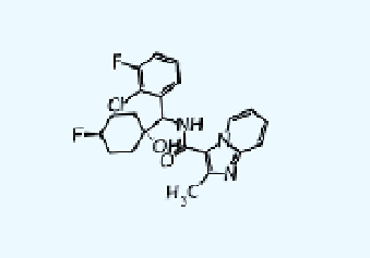 Cc1nc2ccccn2c1C(=O)NC(c1cccc(F)c1Cl)[C@]1(O)CC[C@H](F)CC1